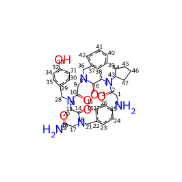 NCC(=O)N(CC(=O)N(CC(=O)N(CC(=O)N(CC(N)=O)Cc1ccccc1)Cc1ccc(O)cc1)Cc1ccccc1)C1CCCC1